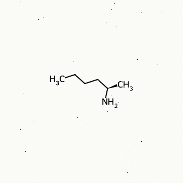 CCCC[C@@H](C)N